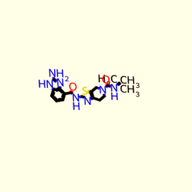 CC(C)(C)NC(=O)N1CCc2nc(NC(=O)c3cccc4[nH]c(N)nc34)sc2C1